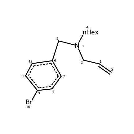 C=CCN(CCCCCC)Cc1ccc(Br)cc1